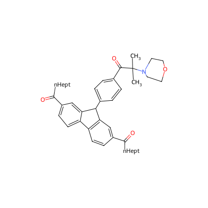 CCCCCCCC(=O)c1ccc2c(c1)C(c1ccc(C(=O)C(C)(C)N3CCOCC3)cc1)c1cc(C(=O)CCCCCCC)ccc1-2